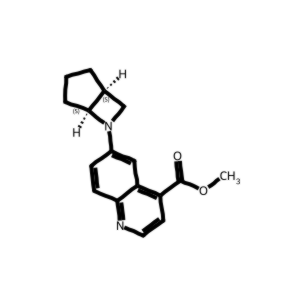 COC(=O)c1ccnc2ccc(N3C[C@@H]4CCC[C@@H]43)cc12